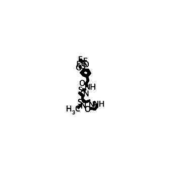 Cc1nc(CN2NCCC2=O)c(-c2csc(NC(=O)Cc3ccc(S(=O)(=O)C(F)(F)F)cc3)n2)s1